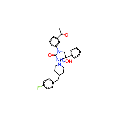 CC(=O)c1cccc(N(C[C@](O)(CN2CCC(Cc3ccc(F)cc3)CC2)c2ccccc2)C(N)=O)c1